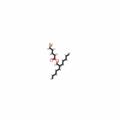 CCCCCC(CCCCC)COC(=O)CCCCBr